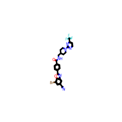 N#Cc1cc(Br)c2oc(-c3ccc(C(=O)NCC4CCN(c5nccc(C(F)(F)F)n5)CC4)cc3)nc2c1